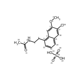 COc1cc2c(CCNC(C)=O)cccc2cc1Cl.O=S(=O)(O)O